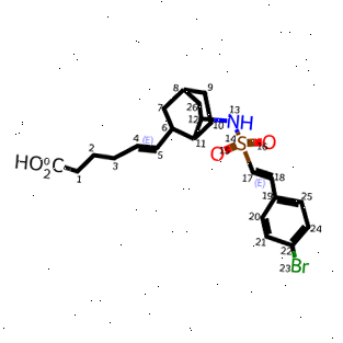 O=C(O)CCC/C=C/C1CC2CCC1C(NS(=O)(=O)/C=C/c1ccc(Br)cc1)C2